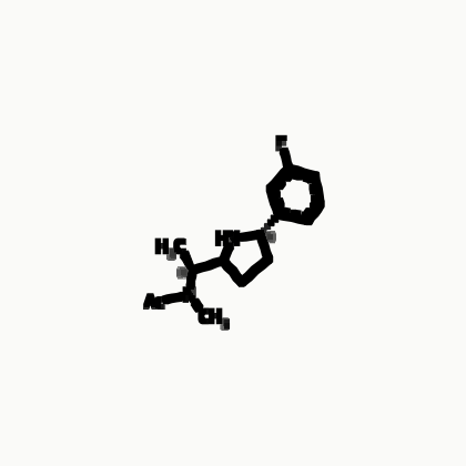 CC(=O)N(C)[C@@H](C)C1CC[C@@H](c2cccc(F)c2)N1